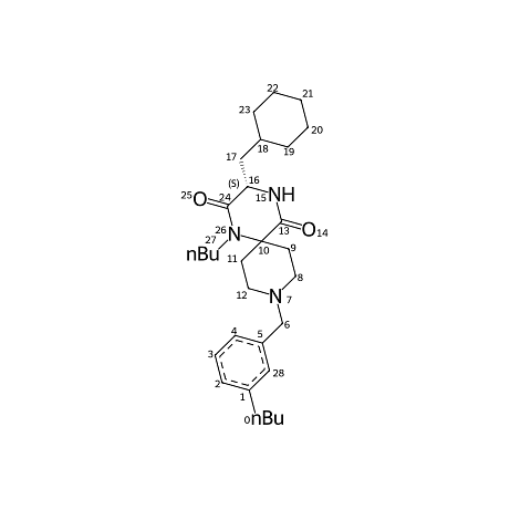 CCCCc1cccc(CN2CCC3(CC2)C(=O)N[C@@H](CC2CCCCC2)C(=O)N3CCCC)c1